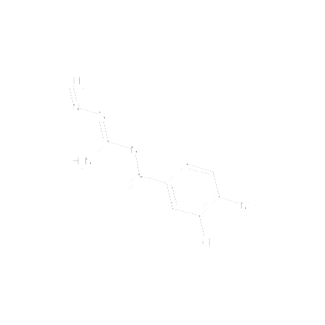 C=N/N=C(\N)NC(=O)c1ccc([N+](=O)[O-])c(Cl)c1